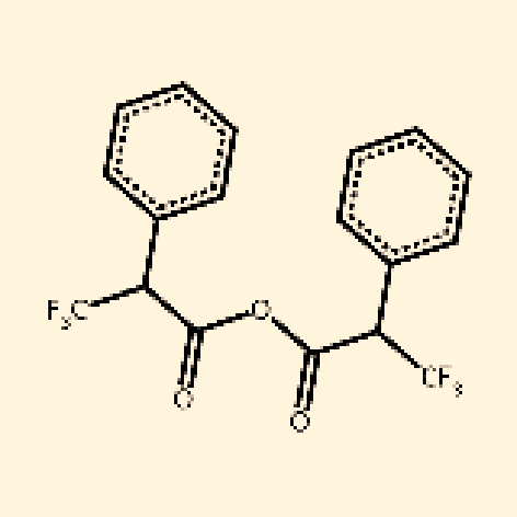 O=C(OC(=O)C(c1ccccc1)C(F)(F)F)C(c1ccccc1)C(F)(F)F